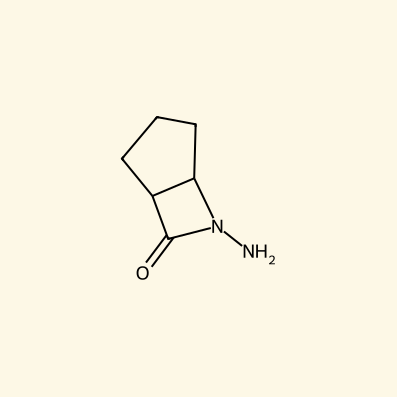 NN1C(=O)C2CCCC21